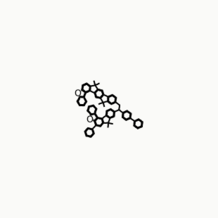 CC1(C)c2cc(CC(c3ccc(-c4ccccc4)cc3)c3ccc4c(c3)C(C)(C)c3cc(-c5ccccc5)c5oc6ccccc6c5c3-4)ccc2-c2cc3c(cc21)-c1c(ccc2oc4ccccc4c12)C3(C)C